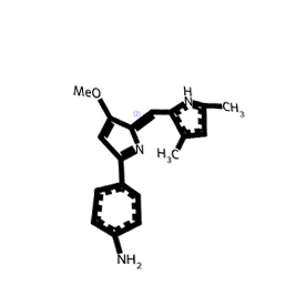 COC1=CC(c2ccc(N)cc2)=N/C1=C\c1[nH]c(C)cc1C